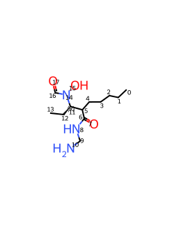 CCCCCC(C(=O)NCN)[C@@H](CC)N(O)C=O